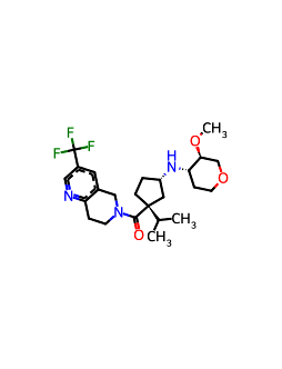 CO[C@H]1COCC[C@@H]1N[C@H]1CC[C@](C(=O)N2CCc3ncc(C(F)(F)F)cc3C2)(C(C)C)C1